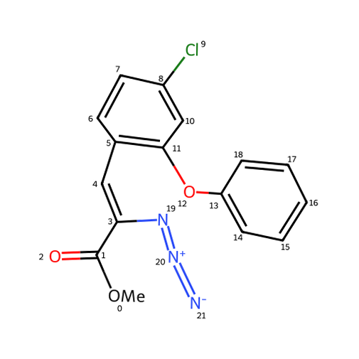 COC(=O)/C(=C/c1ccc(Cl)cc1Oc1ccccc1)N=[N+]=[N-]